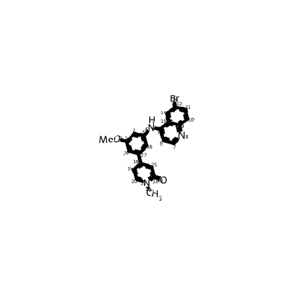 COc1cc(Nc2ccnc3ccc(Br)cc23)cc(-c2ccn(C)c(=O)c2)c1